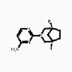 Nc1ccnc(N2C[C@@H]3CC[C@@H](C3)C2)n1